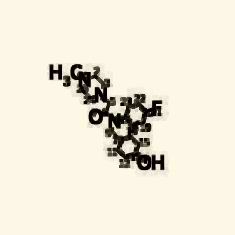 CN1CCN(CC(=O)N(Cc2ccc(O)cc2)c2ccc(F)cc2)CC1